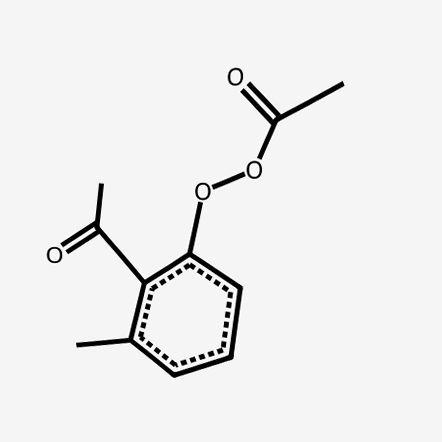 CC(=O)OOc1cccc(C)c1C(C)=O